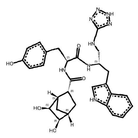 O=C(N[C@H](CNc1nn[nH]n1)Cc1c[nH]c2ccccc12)[C@H](Cc1ccc(O)cc1)NC(=O)[C@@H]1C[C@H]2C[C@@H]1[C@H](O)[C@@H]2O